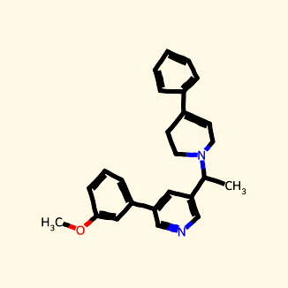 COc1cccc(-c2cncc(C(C)N3CC=C(c4ccccc4)CC3)c2)c1